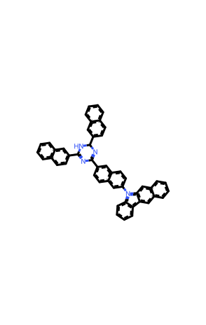 c1ccc2cc(C3=NC(c4ccc5cc(-n6c7ccccc7c7cc8ccccc8cc76)ccc5c4)=NC(c4ccc5ccccc5c4)N3)ccc2c1